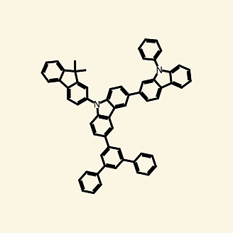 CC1(C)c2ccccc2-c2ccc(-n3c4ccc(-c5cc(-c6ccccc6)cc(-c6ccccc6)c5)cc4c4cc(-c5ccc6c7ccccc7n(-c7ccccc7)c6c5)ccc43)cc21